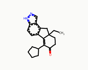 CCC12CCC(=O)C(C3CCCC3)=C1c1ccc3[nH]ncc3c1C2